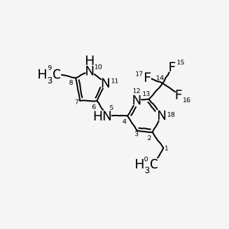 CCc1cc(Nc2cc(C)[nH]n2)nc(C(F)(F)F)n1